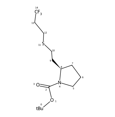 CC(C)(C)OC(=O)N1CCC[C@@H]1CCSCCC(F)(F)F